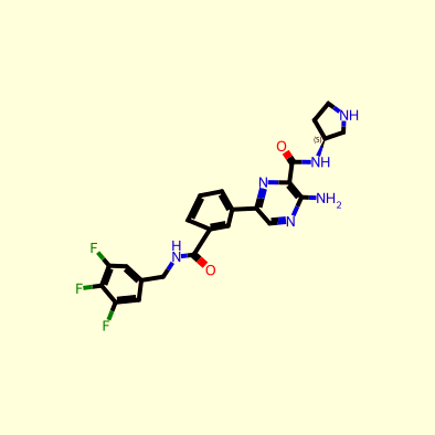 Nc1ncc(-c2cccc(C(=O)NCc3cc(F)c(F)c(F)c3)c2)nc1C(=O)N[C@H]1CCNC1